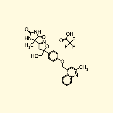 Cc1cc(COc2ccc(C3(CO)CC(C4(C)NC(=O)NC4=O)=NO3)cc2)c2ccccc2n1.O=C(O)C(F)(F)F